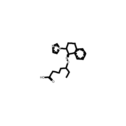 CCC(CCCC(=O)O)ON=C1c2ccccc2CCC1n1ccnc1